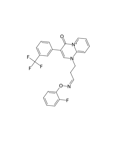 O=c1c(-c2cccc(C(F)(F)F)c2)cn(CC/C=N\Oc2ccccc2F)c2cccc[n+]12